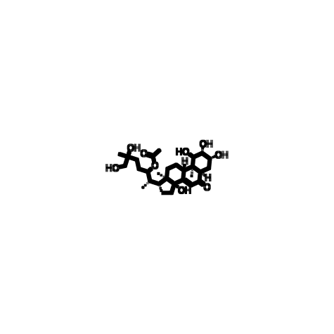 CC(=O)OC(CCC(C)(O)CO)[C@@H](C)[C@H]1CC[C@@]2(O)C3=CC(=O)[C@@H]4C[C@@H](O)[C@@H](O)C(O)[C@]4(C)[C@H]3CC[C@]12C